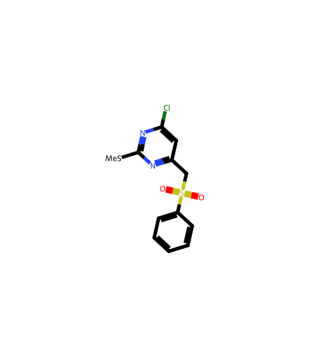 CSc1nc(Cl)cc(CS(=O)(=O)c2ccccc2)n1